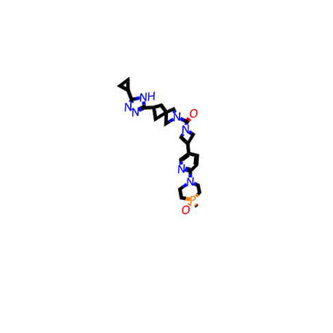 CP1(=O)CCN(c2ccc(C3CN(C(=O)N4CC5(CC(c6nnc(C7CC7)[nH]6)C5)C4)C3)cn2)CC1